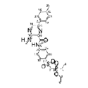 CCO[P@@](=O)(CC)CS(=O)(=O)c1ccc(NC(=O)c2nc(-c3ccc(C)cc3)cnc2N)cc1